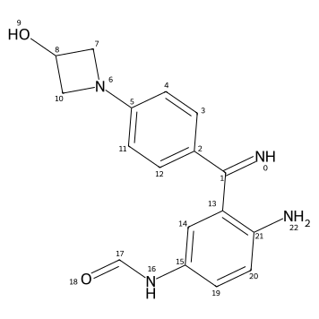 N=C(c1ccc(N2CC(O)C2)cc1)c1cc(NC=O)ccc1N